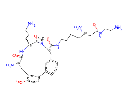 CN1C(=O)[C@H](CCCN)NC(=O)[C@@H](N)Cc2cc(ccc2O)-c2cccc(c2)C[C@H]1C(=O)NCCCC[C@H](N)CC(=O)NCCN